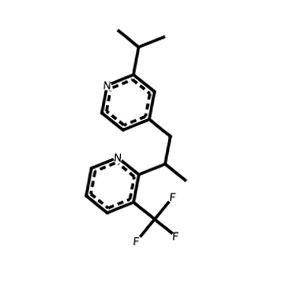 CC(C)c1cc(CC(C)c2ncccc2C(F)(F)F)ccn1